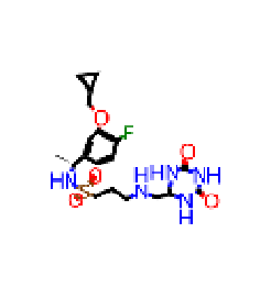 C[C@@H](NS(=O)(=O)CCCNCC1NC(=O)NC(=O)N1)c1ccc(F)c(OCC2CC2)c1